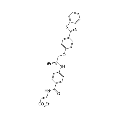 CCOC(=O)C=CNC(=O)c1ccc(N[C@H](COc2ccc(-c3nc4ccccc4s3)cc2)C(C)C)cc1